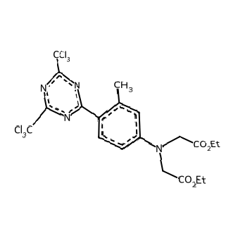 CCOC(=O)CN(CC(=O)OCC)c1ccc(-c2nc(C(Cl)(Cl)Cl)nc(C(Cl)(Cl)Cl)n2)c(C)c1